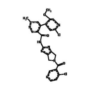 COc1cnc(Cl)cc1-c1cc(C)ncc1C(=O)Nc1nc2c(s1)CN(C(=O)c1cnccc1Cl)C2